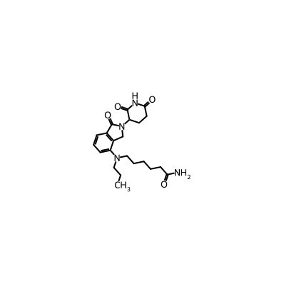 CCCN(CCCCCC(N)=O)c1cccc2c1CN(C1CCC(=O)NC1=O)C2=O